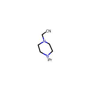 CC(C)N1CCN(CC#N)CC1